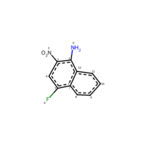 Nc1c([N+](=O)[O-])cc(F)c2ccccc12